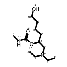 CCN(CC)CC(CCCCO)OC(=O)NC